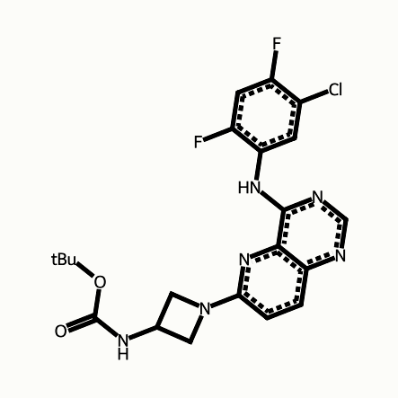 CC(C)(C)OC(=O)NC1CN(c2ccc3ncnc(Nc4cc(Cl)c(F)cc4F)c3n2)C1